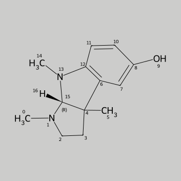 CN1CCC2(C)c3cc(O)ccc3N(C)[C@@H]12